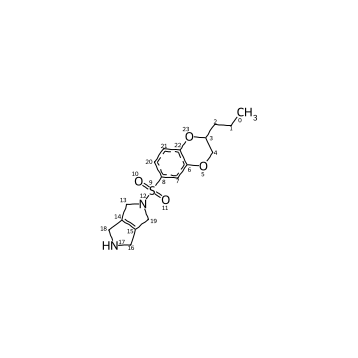 CCCC1COc2cc(S(=O)(=O)N3CC4=C(CNC4)C3)ccc2O1